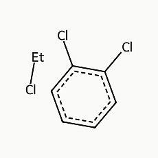 CCCl.Clc1ccccc1Cl